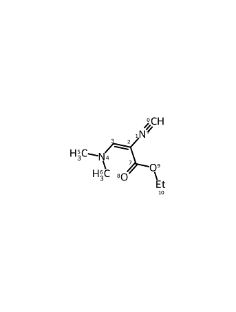 C#[N+]/C(=C/N(C)C)C(=O)OCC